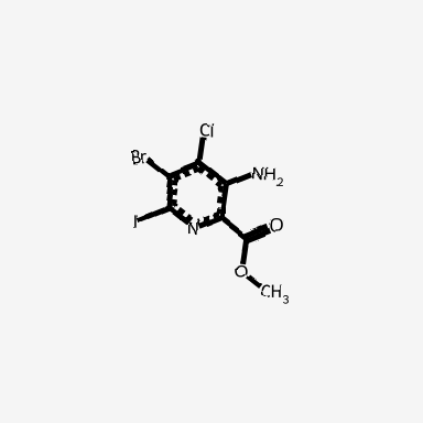 COC(=O)c1nc(I)c(Br)c(Cl)c1N